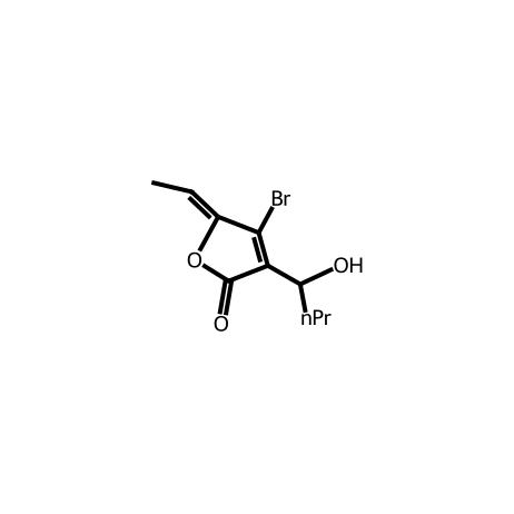 C/C=C1\OC(=O)C(C(O)CCC)=C1Br